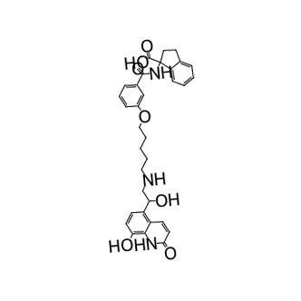 O=C(NC1(C(=O)O)CCc2ccccc21)c1cccc(OCCCCCNCC(O)c2ccc(O)c3[nH]c(=O)ccc23)c1